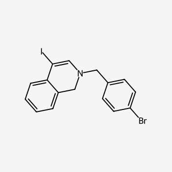 Brc1ccc(CN2C=C(I)c3ccccc3C2)cc1